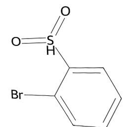 O=[SH](=O)c1ccccc1Br